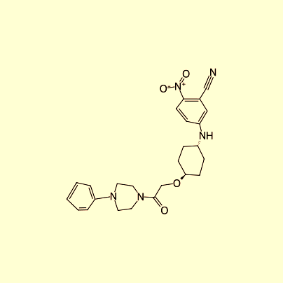 N#Cc1cc(N[C@H]2CC[C@H](OCC(=O)N3CCN(c4ccccc4)CC3)CC2)ccc1[N+](=O)[O-]